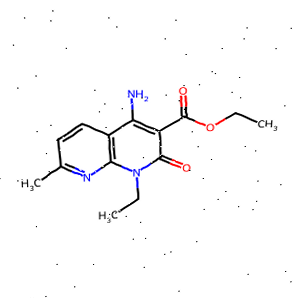 CCOC(=O)c1c(N)c2ccc(C)nc2n(CC)c1=O